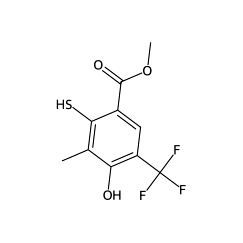 COC(=O)c1cc(C(F)(F)F)c(O)c(C)c1S